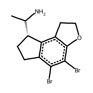 CC(N)[C@H]1CCc2c(Br)c(Br)c3c(c21)CCO3